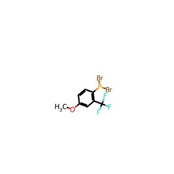 COc1ccc(P(Br)Br)c(C(F)(F)F)c1